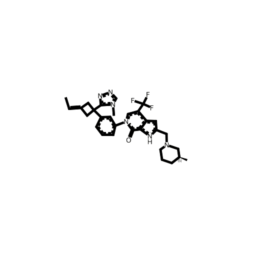 CC=C1CC(c2cccc(-n3cc(C(F)(F)F)c4cc(CN5CCC[C@H](C)C5)[nH]c4c3=O)c2)(c2nncn2C)C1